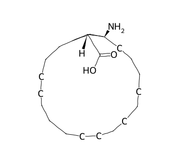 N[C@@]12CCCCCCCCCCCCCCCCC(C1)[C@H]2C(=O)O